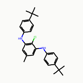 Cc1cc(Nc2ccc(C(C)(C)C)cc2)c(Cl)c(Nc2ccc(C(C)(C)C)cc2)c1